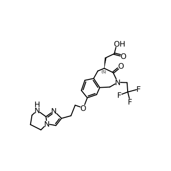 O=C(O)C[C@@H]1Cc2ccc(OCCc3cn4c(n3)NCCC4)cc2CN(CC(F)(F)F)C1=O